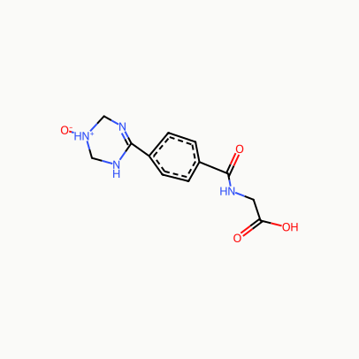 O=C(O)CNC(=O)c1ccc(C2=NC[NH+]([O-])CN2)cc1